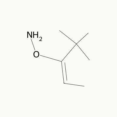 C/C=C(/ON)C(C)(C)C